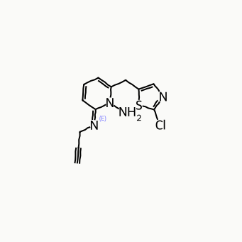 C#CC/N=c1\cccc(Cc2cnc(Cl)s2)n1N